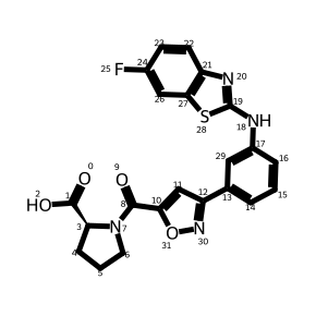 O=C(O)[C@@H]1CCCN1C(=O)c1cc(-c2cccc(Nc3nc4ccc(F)cc4s3)c2)no1